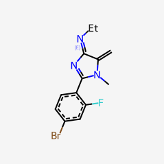 C=C1/C(=N\CC)N=C(c2ccc(Br)cc2F)N1C